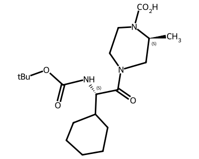 C[C@H]1CN(C(=O)[C@@H](NC(=O)OC(C)(C)C)C2CCCCC2)CCN1C(=O)O